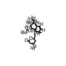 [2H]O[C@H]1CC(=O)OC(CC[C@@H]2[C@@H]3C(=C([2H])[C@]([2H])(C([2H])([2H])[2H])C([2H])([2H])[C@@H]3OC(=O)[C@@H](C)CC)C([2H])=C([2H])[C@]2([2H])C)C1